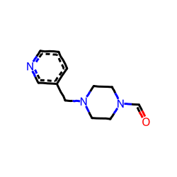 O=CN1CCN(Cc2cccnc2)CC1